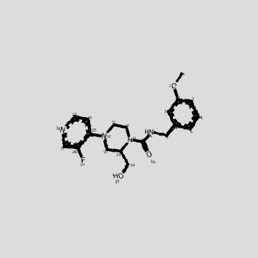 COc1cccc(CNC(=O)N2CCN(c3ccncc3F)CC2CO)c1